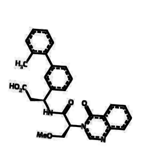 COC[C@@H](C(=O)N[C@@H](CC(=O)O)c1cccc(-c2ccccc2C)c1)n1cnc2ccccc2c1=O